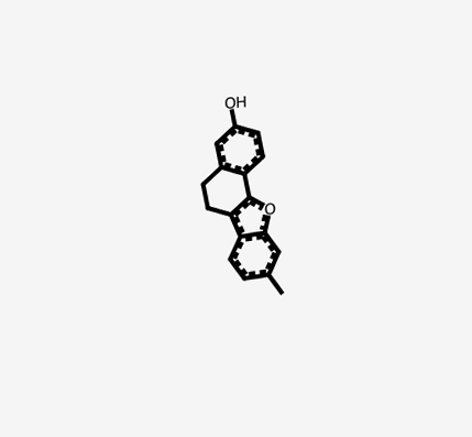 Cc1ccc2c3c(oc2c1)-c1ccc(O)cc1CC3